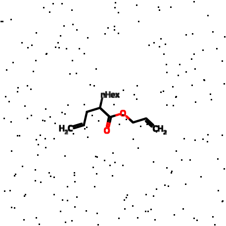 C=CCOC(=O)C(CC=C)CCCCCC